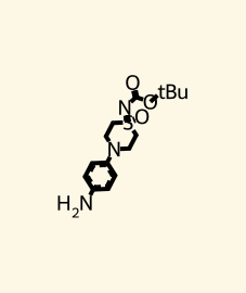 CC(C)(C)OC(=O)N=S1(=O)CCN(c2ccc(N)cc2)CC1